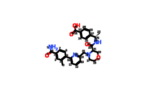 Cc1cc(C(N)=O)ccc1-c1cccc(CN2CCOC[C@@H]2C(=O)N[C@@H](C)c2ccc(C(=O)O)cc2)n1